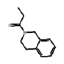 [CH]CC(=O)N1CCc2ccccc2C1